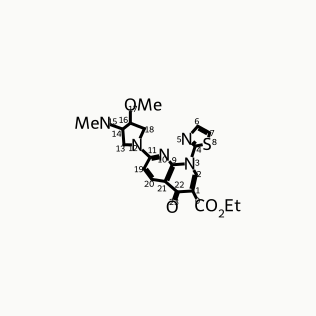 CCOC(=O)c1cn(-c2nccs2)c2nc(N3CC(NC)C(OC)C3)ccc2c1=O